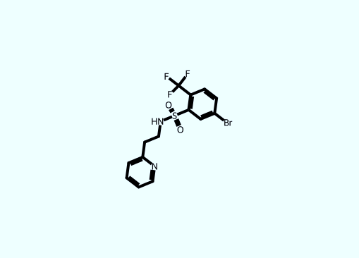 O=S(=O)(NCCc1ccccn1)c1cc(Br)ccc1C(F)(F)F